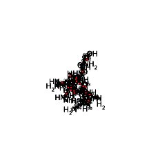 CCC(C)C(NC(=O)[C@@H](CCCNC(=N)N)NC(=O)C(CCCNC(=N)N)NC(=O)C(CC(C)C)NC(=O)C(Cc1ccccc1)NC(=O)CNC(=O)CNC(=O)C(N)Cc1ccc(O)cc1)C(=O)NC(CCCCN)C(=O)N1CCCC1C(=O)NC(CCCCN)C(=O)NC(CC(C)C)C(=O)NC(CCCCN)C(=O)O